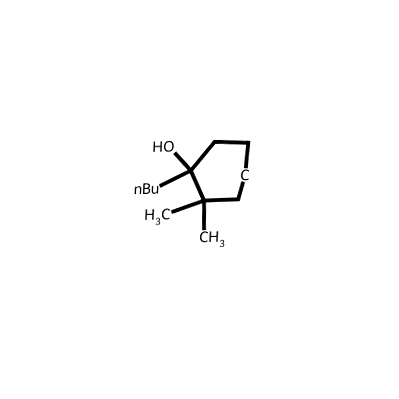 CCCCC1(O)CCCCC1(C)C